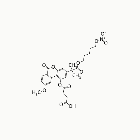 COc1ccc2c(=O)oc3cc(C(C)(C)C(=O)OCCCCCO[N+](=O)[O-])cc(OC(=O)CCC(=O)O)c3c2c1